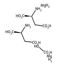 N[C@@H](CC(=O)O)C(=O)O.N[C@@H](CC(=O)O)C(=O)O.O=C(O)O.[MgH2].[MgH2]